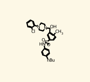 CCCCc1ccc(NS(=O)(=O)c2ccc(C)c(C(O)N3CCN(c4ccccc4Cl)CC3)c2)cc1